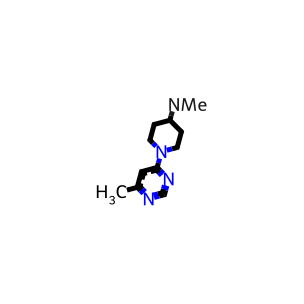 CNC1CCN(c2cc(C)ncn2)CC1